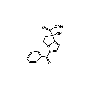 COC(=O)C1(O)CCn2c(C(=O)c3ccccc3)ccc21